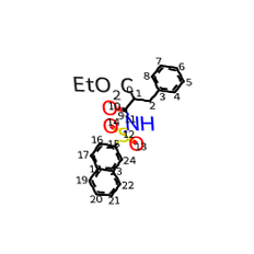 CCOC(=O)C(Cc1ccccc1)C(=O)NS(=O)(=O)c1ccc2ccccc2c1